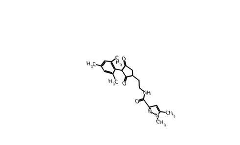 Cc1cc(C)c(C2C(=O)CC(CCNC(=O)c3cc(C)n(C)n3)C2=O)c(C)c1